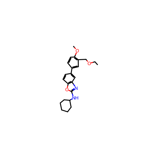 CCOCc1cc(-c2ccc3oc(NC4CCCCC4)nc3c2)ccc1OC